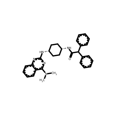 CN(C)c1nc(N[C@H]2CC[C@@H](NC(=O)C(c3ccccc3)c3ccccc3)CC2)nc2ccccc12